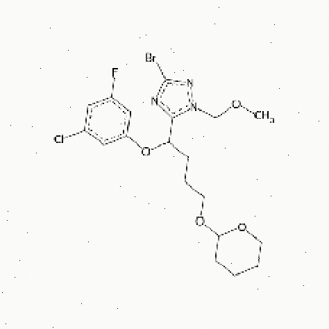 COCn1nc(Br)nc1C(CCCOC1CCCCO1)Oc1cc(F)cc(Cl)c1